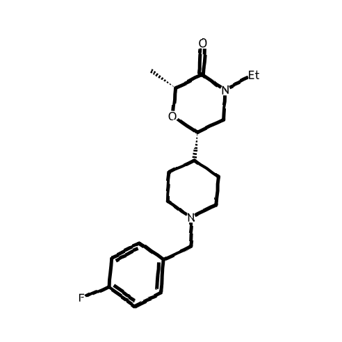 CCN1C[C@H](C2CCN(Cc3ccc(F)cc3)CC2)O[C@H](C)C1=O